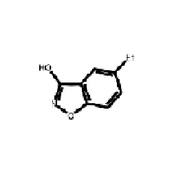 CCc1ccc2onc(O)c2c1